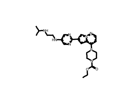 CCOC(=O)N1CCN(c2ccnn3cc(-c4ncc(NCCNC(C)C)cn4)cc23)CC1